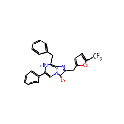 O=c1c(Cc2ccc(C(F)(F)F)o2)nc2c(Cc3ccccc3)[nH]c(-c3ccccc3)cn1-2